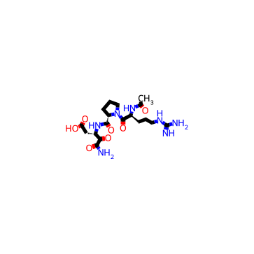 CC(=O)N[C@@H](CCCNC(=N)N)C(=O)N1CCC[C@H]1C(=O)N[C@@H](CC(=O)O)C(=O)C(N)=O